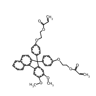 C=CC(=O)OCCOc1ccc(C2(c3ccc(OCCOC(=O)C=C)cc3)c3cc(OC)c(OC)cc3-c3c2ccc2ccccc32)cc1